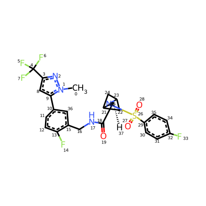 Cn1nc(C(F)(F)F)cc1-c1ccc(F)c(CNC(=O)[C@@H]2C3CC(C3)N2S(=O)(=O)c2ccc(F)cc2)c1